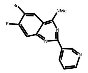 CNc1nc(-c2cccnc2)nc2cc(F)c(Br)cc12